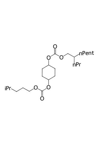 CCCCCC(CCC)COC(=O)OC1CCC(OC(=O)OCCCC(C)C)CC1